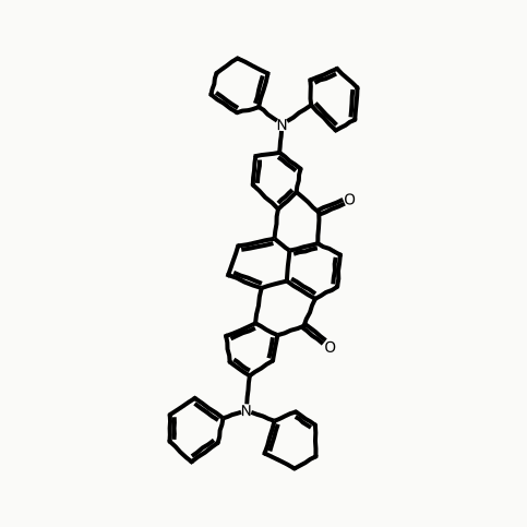 O=C1c2cc(N(C3=CCCC=C3)c3ccccc3)ccc2-c2ccc3c4c(ccc1c24)C(=O)c1cc(N(C2=CCCC=C2)c2ccccc2)ccc1-3